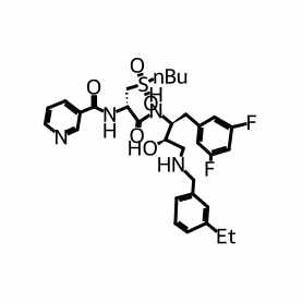 CCCCS(=O)(=O)C[C@@H](NC(=O)c1cccnc1)C(=O)N[C@@H](Cc1cc(F)cc(F)c1)[C@H](O)CNCc1cccc(CC)c1